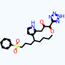 CCCCC(CCCS(=O)(=O)c1ccccc1)c1cc[nH]c1CC(=O)C(=O)c1nn[nH]n1